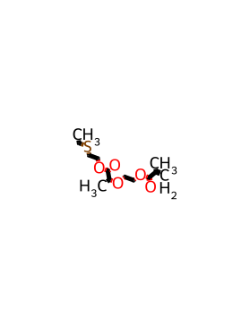 C=C(C)C(=O)OCCOC(C)C(=O)OCCSCC